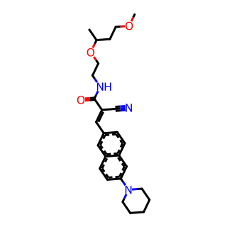 COCCC(C)OCCNC(=O)/C(C#N)=C/c1ccc2cc(N3CCCCC3)ccc2c1